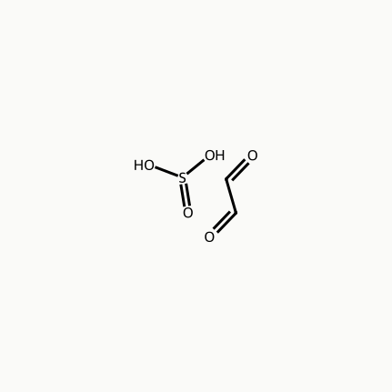 O=CC=O.O=S(O)O